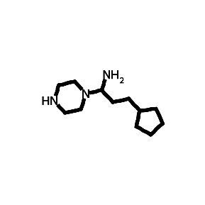 NC(CCC1CCCC1)N1CCNCC1